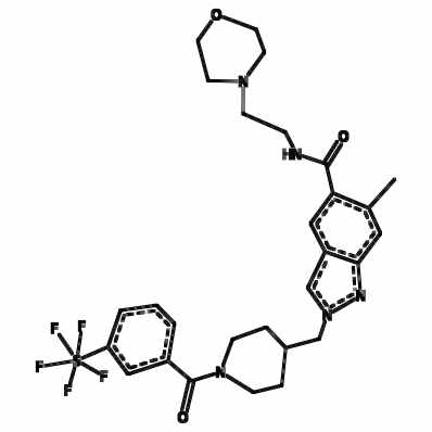 Cc1cc2nn(CC3CCN(C(=O)c4cccc(S(F)(F)(F)(F)F)c4)CC3)cc2cc1C(=O)NCCN1CCOCC1